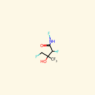 O=C(NF)C(F)C(O)(CF)C(F)(F)F